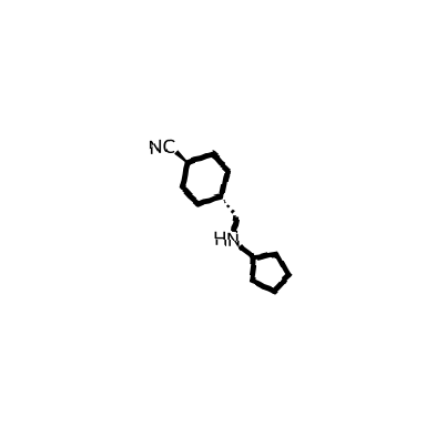 N#C[C@H]1CC[C@H](CNC2CCCC2)CC1